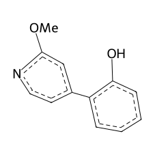 COc1cc(-c2ccccc2O)ccn1